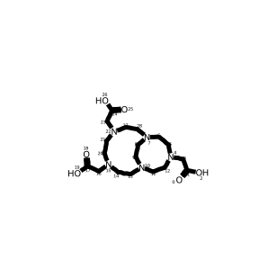 O=C(O)CN1CCN2CCN(CC1)CCN(CC(=O)O)CCN(CC(=O)O)CC2